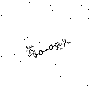 CC(C)[C@H](N)C(=O)N[C@@H](C)c1ncc(-c2ccc(C#Cc3ccc(-c4cnc([C@@H]5CCCN5C(=O)[C@H](C(C)C)N(C)C)[nH]4)cc3)cc2)[nH]1